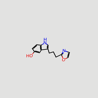 Oc1ccc2[nH]cc(CCCc3ncco3)c2c1